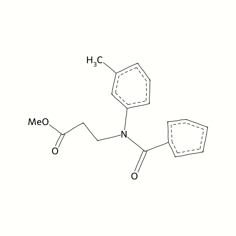 COC(=O)CCN(C(=O)c1ccccc1)c1cccc(C)c1